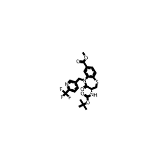 COC(=O)c1ccc2c(c1)N(Cc1ccc(C(F)(F)F)nc1)C(=O)[C@@H](NC(=O)OC(C)(C)C)CS2